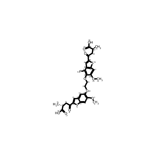 COc1cc2sc(C(=O)C[C@@H](C)C(=O)O)cc2cc1OCCOc1c(OC)cc2sc(C(=O)C[C@H](C)C(=O)O)cc2c1F